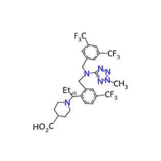 CC[C@@H](c1ccc(C(F)(F)F)cc1CN(Cc1cc(C(F)(F)F)cc(C(F)(F)F)c1)c1nnn(C)n1)N1CCC(C(=O)O)CC1